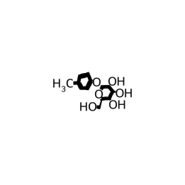 Cc1ccc(O[C@H]2O[C@H](CO)[C@H](O)[C@H](O)[C@@H]2O)cc1